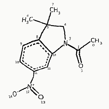 CC(=O)N1CC(C)(C)c2ccc([N+](=O)[O-])cc21